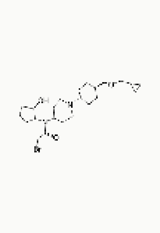 O=C(CBr)N(C1CCN([C@H]2CC[C@H](COCC3CC3)CC2)CC1)C1CCCC1O